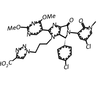 COc1ncc(-c2nc3c(n2CCCn2cc(C(=O)O)nn2)[C@@H](c2ccc(Cl)cc2)N(c2cc(Cl)cn(C)c2=O)C3=O)c(OC)n1